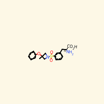 CC1(Oc2ccccc2)CN(S(=O)(=O)c2cccc(C[C@H](N)C(=O)O)c2)C1